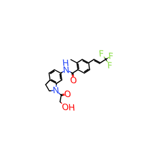 Cc1cc(C=CC(F)(F)F)ccc1C(=O)Nc1ccc2c(c1)N(C(=O)CO)CC2